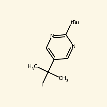 CC(C)(C)c1ncc(C(C)(C)I)cn1